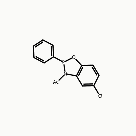 CC(=O)N1c2cc(Cl)ccc2OP1c1ccccc1